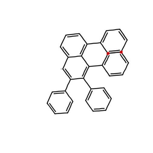 [c]1c(-c2ccccc2)c(-c2ccccc2)c(-c2ccccc2)c2c(-c3ccccc3)cccc12